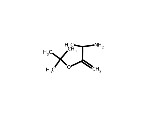 C=C(OC(C)(C)C)C(C)N